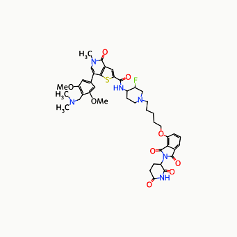 COc1cc(-c2cn(C)c(=O)c3cc(C(=O)NC4CCN(CCCCCOc5cccc6c5C(=O)N(C5CCC(=O)NC5=O)C6=O)CC4F)sc23)cc(OC)c1CN(C)C